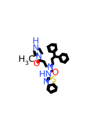 C[C@H]1CNCCN1C(=O)CCN(CCC(c1ccccc1)c1ccccc1)C(=O)Nc1nc2ccccc2s1